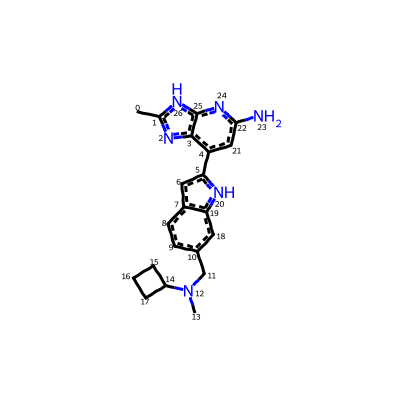 Cc1nc2c(-c3cc4ccc(CN(C)C5CCC5)cc4[nH]3)cc(N)nc2[nH]1